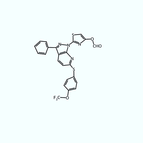 O=COc1csc(-n2nc(-c3ccccc3)c3ccc(Sc4ccc(OC(F)(F)F)cc4)nc32)n1